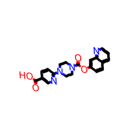 O=C(O)c1ccc(N2CCN(C(=O)Oc3ccc4cccnc4c3)CC2)nc1